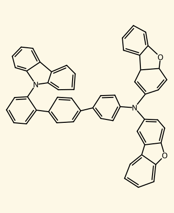 C1=CC2Oc3ccccc3C2C=C1N(c1ccc(-c2ccc(-c3ccccc3-n3c4ccccc4c4ccccc43)cc2)cc1)c1ccc2oc3ccccc3c2c1